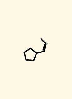 C/[C]=C\C1CCCC1